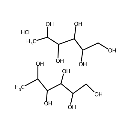 CC(O)C(O)C(O)C(O)CO.CC(O)C(O)C(O)C(O)CO.Cl